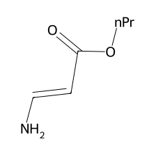 CCCOC(=O)C=CN